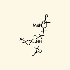 CNC(CC1(C)OC1=O)C(C)(C)CC(C)(C)C(=O)NC(CC1(C)OC1=O)C(C)(C)CC(C)(C)C(C)=O